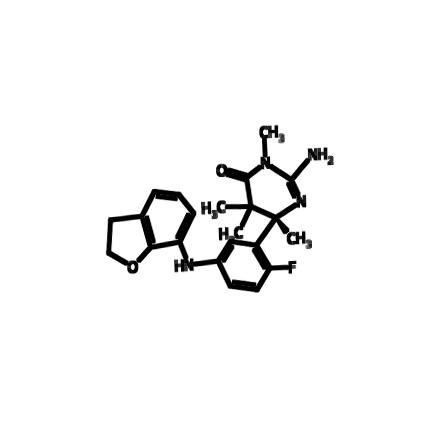 CN1C(=O)C(C)(C)[C@@](C)(c2cc(Nc3cccc4c3OCC4)ccc2F)N=C1N